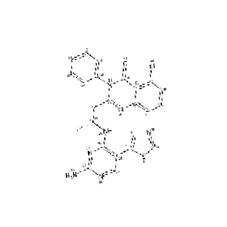 C[C@H](Cc1nc2cccc(Cl)c2c(=O)n1-c1ccccc1)Nc1nc(N)ncc1-c1cncs1